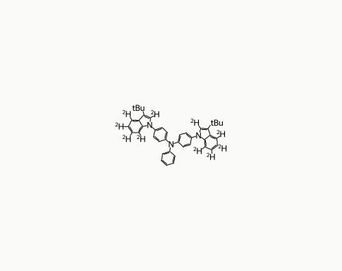 [2H]c1c([2H])c([2H])c2c(c1[2H])c(C(C)(C)C)c([2H])n2-c1ccc(N(c2ccccc2)c2ccc(-n3c([2H])c(C(C)(C)C)c4c([2H])c([2H])c([2H])c([2H])c43)cc2)cc1